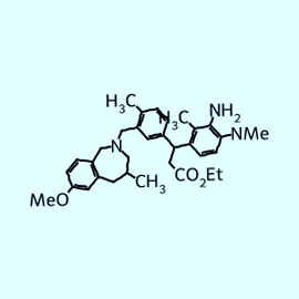 CCOC(=O)CC(c1ccc(C)c(CN2Cc3ccc(OC)cc3CC(C)C2)c1)c1ccc(NC)c(N)c1C